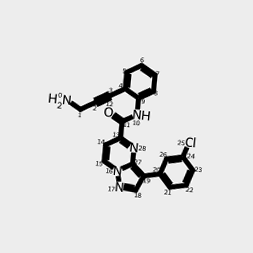 NCC#Cc1ccccc1NC(=O)c1ccn2ncc(-c3cccc(Cl)c3)c2n1